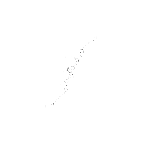 C=CC(=O)OCCCCCCCc1ccc(C(=O)Oc2ccc(NNc3ccc(-c4ccc(NNc5ccc(OC(=O)c6ccc(CCCCCCOC(=O)C=C)cc6)c(OC=O)c5)cc4S(=O)(=O)OO)cc3)cc2C(=O)O)cc1